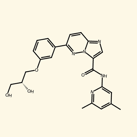 Cc1cc(C)nc(NC(=O)c2cnc3ccc(-c4cccc(OC[C@H](O)CO)c4)nn23)c1